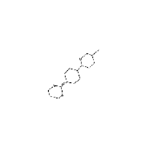 CC1CCC(C2CCC(=C3SCCCS3)CC2)OC1